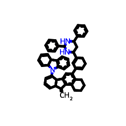 C=C1c2c(cc(C3=CCCC(C4CC(c5ccccc5)NC(c5ccccc5)N4)=C3)c3c2CCCC3)C2C(N3c4ccccc4C4C=CC=CC43)=CC=CC12